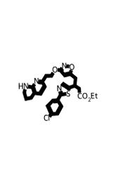 CCOC(=O)CC(Cc1cc(OCCc2ccc3c(n2)NCCC3)no1)c1cnc(-c2ccc(Cl)cc2)s1